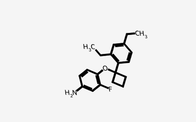 CCc1ccc(C2(Oc3ccc(N)cc3F)CCC2)c(CC)c1